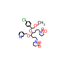 CCOCC(O[C](CCCN1CCCS1(=O)=O)C(CCCN1CCCS1(=O)=O)OCc1cccnc1)c1ccc(Cl)cc1